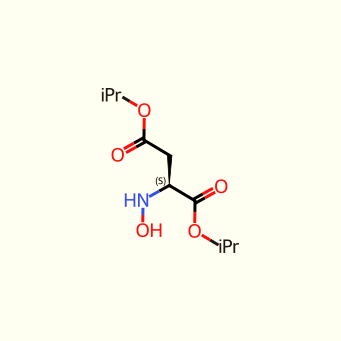 CC(C)OC(=O)C[C@H](NO)C(=O)OC(C)C